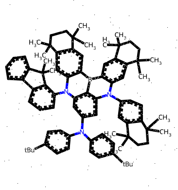 CC(C)(C)c1ccc(N(c2ccc(C(C)(C)C)cc2)c2cc3c4c(c2)N(c2cccc5c2C(C)(C)c2ccccc2-5)c2cc5c(cc2B4c2cc4c(cc2N3c2ccc3c(c2)C(C)(C)CCC3(C)C)C(C)(C)CCC4(C)C)C(C)(C)CCC5(C)C)cc1